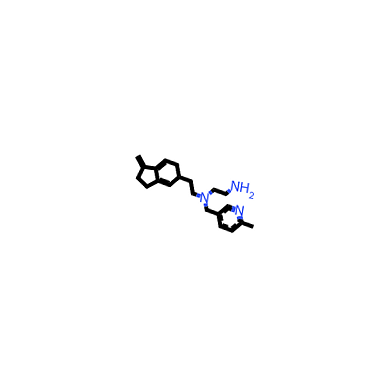 C=C1CCC2=CC(CCN(CCN)Cc3ccc(C)nc3)CC=C12